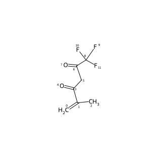 C=C(C)C(=O)CC(=O)C(F)(F)F